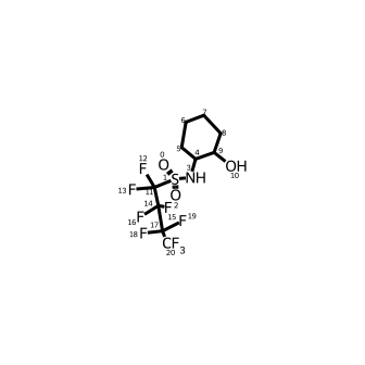 O=S(=O)(NC1CCCCC1O)C(F)(F)C(F)(F)C(F)(F)C(F)(F)F